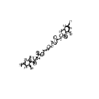 O=C(COC(=O)c1c(I)cc(I)cc1I)OCCOCCOC(=O)COC(=O)c1c(I)cc(I)cc1I